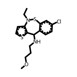 CCN1Sc2cc(Cl)ccc2C(NCCCOC)c2sccc21